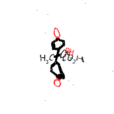 CC(C)(C1=CCC(=O)C=C1)C1=CCC(=O)C=C1.O=C(O)O